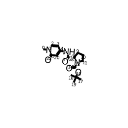 Cn1ccc(NC(=O)[C@@H]2CCCN2C(=O)OC(C)(C)C)cc1=O